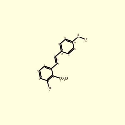 CCOC(=O)c1c(O)cccc1/C=C/c1ccc(OCC)cc1